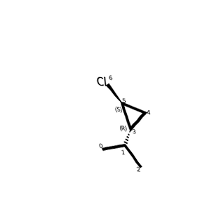 CC(C)[C@H]1C[C@@H]1Cl